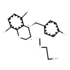 OCCOC[C@@H]1COc2c(F)ccc(F)c2[C@H]1Cc1ccc(Cl)cc1